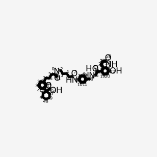 CN(CCCCC(=O)Nc1ccc(CNC[C@H](O)c2ccc(O)c3[nH]c(=O)ccc23)cc1)C(=O)CCCc1cccc(C2(C(=O)O)CCCCC2)c1